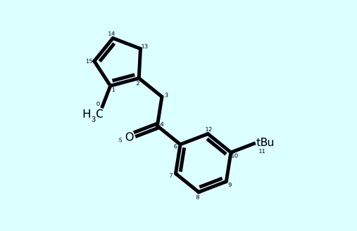 CC1=C(CC(=O)c2cccc(C(C)(C)C)c2)CC=C1